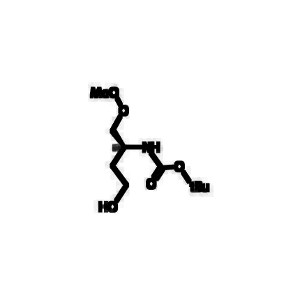 COOC[C@H](CCO)NC(=O)OC(C)(C)C